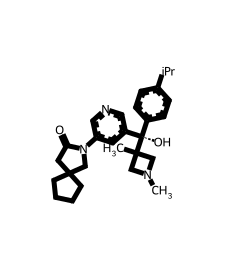 CC(C)c1ccc([C@](O)(c2cncc(N3CC4(CCCC4)CC3=O)c2)C2(C)CN(C)C2)cc1